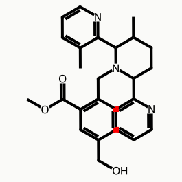 COC(=O)c1cc(CO)ccc1CN1C(c2ccccn2)CCC(C)C1c1ncccc1C